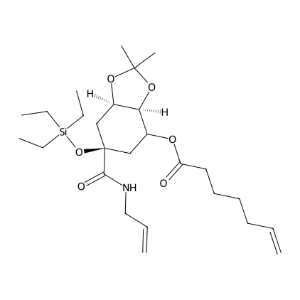 C=CCCCCC(=O)OC1C[C@](O[Si](CC)(CC)CC)(C(=O)NCC=C)C[C@H]2OC(C)(C)O[C@@H]12